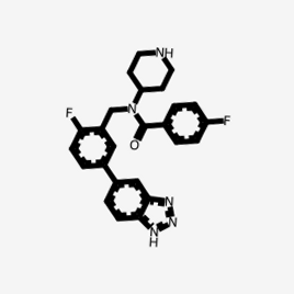 O=C(c1ccc(F)cc1)N(Cc1cc(-c2ccc3[nH]nnc3c2)ccc1F)C1CCNCC1